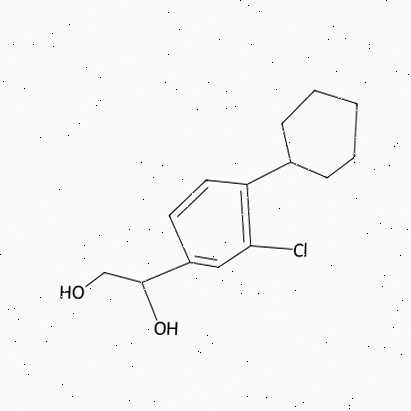 OCC(O)c1ccc(C2CCCCC2)c(Cl)c1